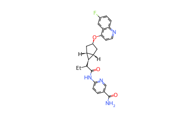 CCC(C(=O)Nc1ccc(C(N)=O)cn1)[C@H]1[C@@H]2C[C@@H](Oc3ccnc4ccc(F)cc34)C[C@@H]21